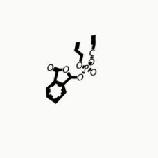 C=CCOP(=O)(OCC=C)OC1OC(=O)c2ccccc21